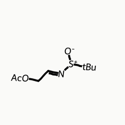 CC(=O)OC/C=N/[S+]([O-])C(C)(C)C